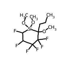 CCCC1(OC)C(F)(F)C(F)(F)C(F)C(F)[Si]1(OC)OC